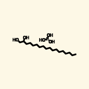 CCCCCCCCCCCCCCCCC(O)CO.OP(O)O